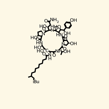 CCC(C)CC(C)CCCCCCCCC(=O)NC1CC(O)[C@@H](O)NC(=O)C2C(O)CCN2C(=O)C([C@@H](O)CC(N)=O)NC(=O)C(C(O)C(O)c2ccc(O)cc2)NC(=O)[C@@H]2C[C@@H](O)CN2C(=O)[C@H](C(C)O)NC1=O